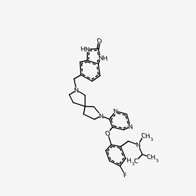 CC(C)N(C)Cc1cc(F)ccc1Oc1cncnc1N1CCC2(CCN(Cc3ccc4[nH]c(=O)[nH]c4c3)C2)C1